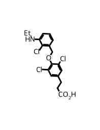 CCNc1cccc(COc2c(Cl)cc(CCC(=O)O)cc2Cl)c1Cl